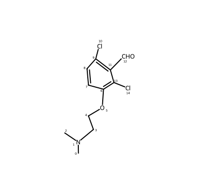 CN(C)CCOc1ccc(Cl)c(C=O)c1Cl